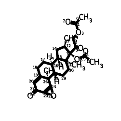 CC(=O)OCC(=O)[C@@]1(OC(C)=O)[C@H](C)C[C@H]2[C@@H]3CCC4=CC(=O)C5=C(O5)[C@]4(C)[C@H]3CC[C@@]21C